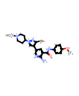 CC(C)(C)c1nn(C2CCN(C(=O)O)CC2)cc1-c1cnc(N)c(C(=O)Nc2ccc(OC(F)(F)F)cc2)c1